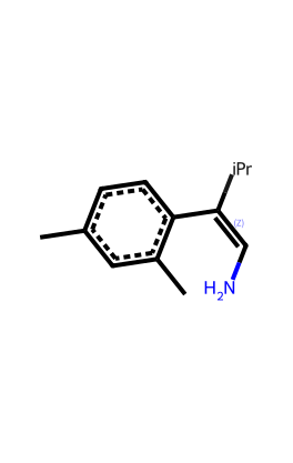 Cc1ccc(/C(=C\N)C(C)C)c(C)c1